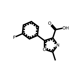 Cc1nc(C(=O)O)c(-c2cccc(F)c2)o1